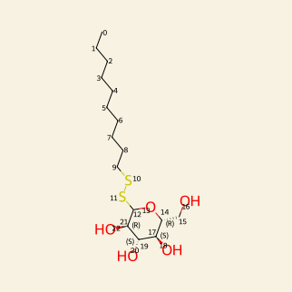 CCCCCCCCCCSSC1O[C@H](CO)[C@@H](O)[C@H](O)[C@H]1O